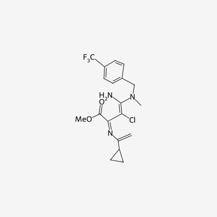 C=C(/N=C(C(=O)OC)\C(Cl)=C(/N)N(C)Cc1ccc(C(F)(F)F)cc1)C1CC1